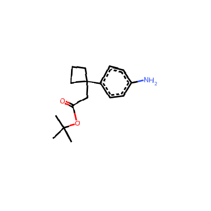 CC(C)(C)OC(=O)CC1(c2ccc(N)cc2)CCC1